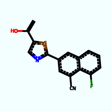 C=C(O)c1cnc(-c2cc(C#N)c3c(F)cccc3c2)s1